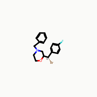 Fc1ccc([C@H](Br)C2CN(Cc3ccccc3)CCO2)cc1